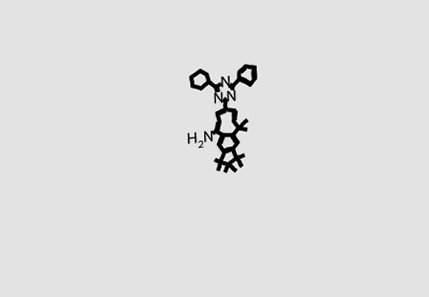 CC1(C)/C=C/C(c2nc(-c3ccccc3)nc(C3CCCCC3)n2)=C\C=C(/N)c2cc3c(cc21)C(C)(C)C(C)(C)C3(C)C